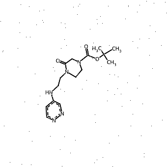 CC(C)(C)OC(=O)N1CCN(CCNc2ccnnc2)C(=O)C1